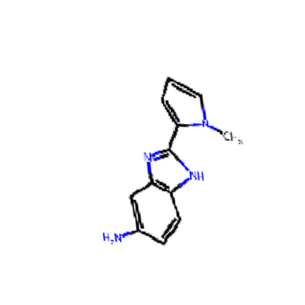 Cn1cccc1-c1nc2cc(N)ccc2[nH]1